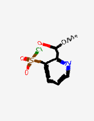 COC(=O)c1ncccc1S(=O)(=O)Cl